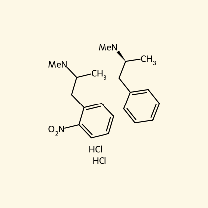 CNC(C)Cc1ccccc1[N+](=O)[O-].CN[C@@H](C)Cc1ccccc1.Cl.Cl